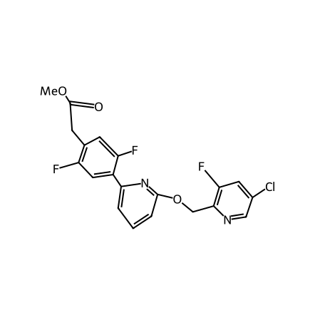 COC(=O)Cc1cc(F)c(-c2cccc(OCc3ncc(Cl)cc3F)n2)cc1F